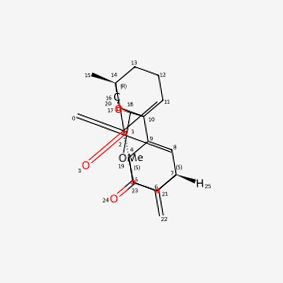 C=C1C(=O)[C@@]23CC[C@@H](CC2C24CCC[C@@](C)(COC2OC)C14)C(=C)C3=O